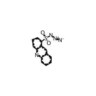 [N-]=[N+]=NS(=O)(=O)c1cccc2nc3ccccc3cc12